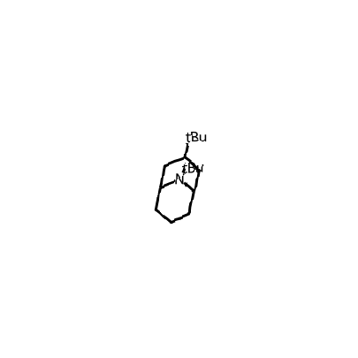 CC(C)(C)C1CC2CCCC(C1)N2C(C)(C)C